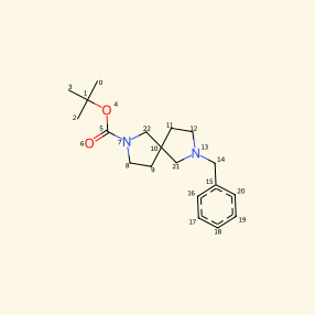 CC(C)(C)OC(=O)N1CCC2(CCN(Cc3ccccc3)C2)C1